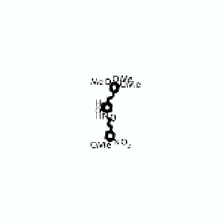 COc1ccc(/C=C/C(=O)Nc2ccc(C=Cc3cc(OC)c(OC)c(OC)c3)cc2O)cc1[N+](=O)[O-]